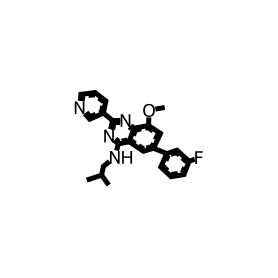 COc1cc(-c2cccc(F)c2)cc2c(NCC(C)C)nc(-c3cccnc3)nc12